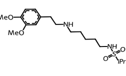 COc1ccc(CCNCCCCCNS(=O)(=O)C(C)C)cc1OC